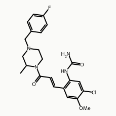 COc1cc(C=CC(=O)N2CCN(Cc3ccc(F)cc3)CC2C)c(NC(N)=O)cc1Cl